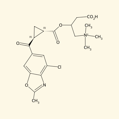 Cc1nc2c(Cl)cc(C(=O)[C@H]3C[C@@H]3C(=O)OC(CC(=O)O)C[N+](C)(C)C)cc2o1